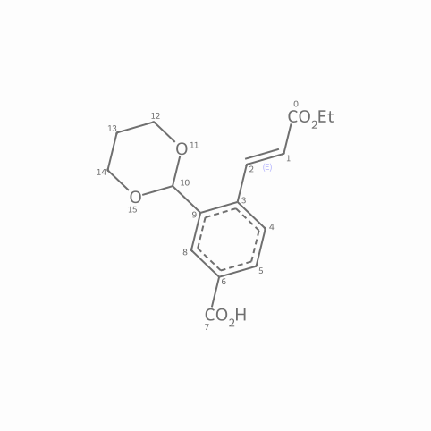 CCOC(=O)/C=C/c1ccc(C(=O)O)cc1C1OCCCO1